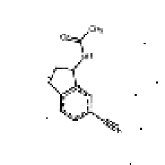 CC(=O)NC1CCc2ccc(C#N)cc21